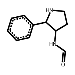 O=CNC1CCNC1c1ccccc1